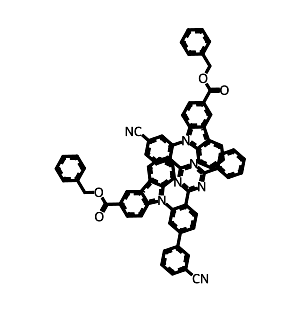 N#Cc1cccc(-c2ccc(-c3nc(-c4ccccc4)nc(-c4ccc(C#N)cc4-n4c5ccccc5c5cc(C(=O)OCc6ccccc6)ccc54)n3)c(-n3c4ccccc4c4cc(C(=O)OCc5ccccc5)ccc43)c2)c1